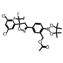 CC(=O)OCc1cc(C2=NOC(c3cc(Cl)cc(Cl)c3)(C(F)(F)F)C2)ccc1B1OC(C)(C)C(C)(C)O1